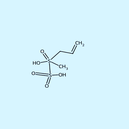 C=CCS(C)(=O)(O)S(=O)(=O)O